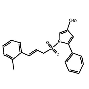 Cc1ncccc1C=CCS(=O)(=O)n1cc(C=O)cc1-c1ccccc1